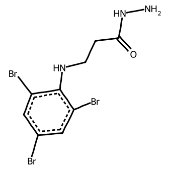 NNC(=O)CCNc1c(Br)cc(Br)cc1Br